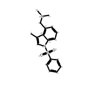 Cc1cn(S(=O)(=O)c2ccccc2)c2cccc(CN(C)C)c12